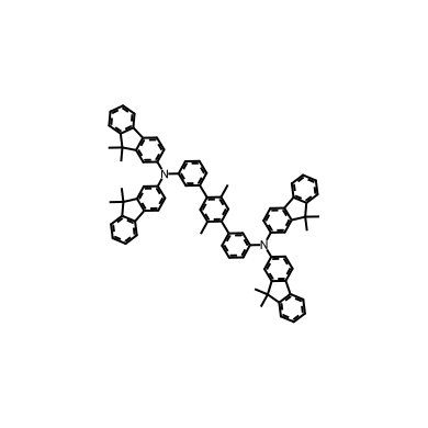 Cc1cc(-c2cccc(N(c3ccc4c(c3)C(C)(C)c3ccccc3-4)c3ccc4c(c3)C(C)(C)c3ccccc3-4)c2)c(C)cc1-c1cccc(N(c2ccc3c(c2)C(C)(C)c2ccccc2-3)c2ccc3c(c2)C(C)(C)c2ccccc2-3)c1